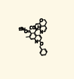 Cc1cc2nc(OCc3ccccc3)ccc2c(-c2ccc3c4c(ccnc24)CCO3)c1[C@H](OC(C)(C)C)C(=O)O